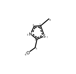 Cc1cnc(C[O])s1